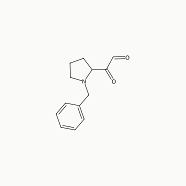 O=CC(=O)C1CCCN1Cc1ccccc1